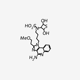 COCCc1nc2c(N)nc3ccccc3c2n1CCCCN(C(=O)O)C1C(O)SC1O